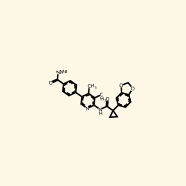 CNC(=O)c1ccc(-c2cnc(NC(=O)C3(c4ccc5c(c4)OCO5)CC3)c(C)c2C)cc1